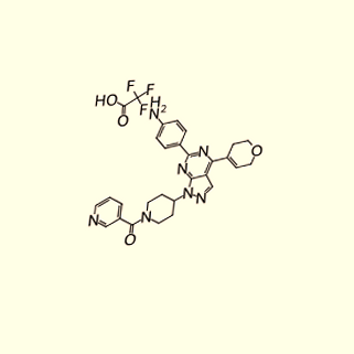 Nc1ccc(-c2nc(C3=CCOCC3)c3cnn(C4CCN(C(=O)c5cccnc5)CC4)c3n2)cc1.O=C(O)C(F)(F)F